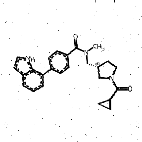 CN(C[C@@H]1CCN(C(=O)C2CC2)C1)C(=O)c1ccc(-c2cccc3cc[nH]c23)cc1